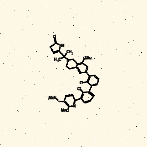 CNCc1ccc(-c2cccc(-c3cccc(-c4cc5c(c(OC)c4)CN(C(C)(C)C4=CCC(=O)N4)CC5)c3Cl)c2Cl)nc1OC